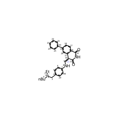 CCCCN(CC)Cc1ccc(N/C=C2\C(=O)NC(=O)c3ccc(-c4ccccc4)cc32)cc1